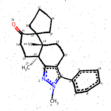 Cn1nc2c(c1-c1ccccc1)CC[C@H]1C3(CCCC3)C(=O)CC[C@]21C